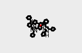 C1=C(c2ccccc2)NC(c2ccccc2)N=C1n1c2ccccc2c2cc(-c3ccc4c(c3)c3c(-c5nc(-c6ccccc6)nc(-c6ccccc6)n5)cccc3n4-c3ccccc3)ccc21